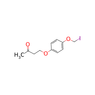 CC(=O)CCOc1ccc(OCI)cc1